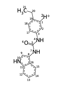 [2H]c1cc(NC(=O)Nc2c[nH]c3ccccc23)ccc1CC